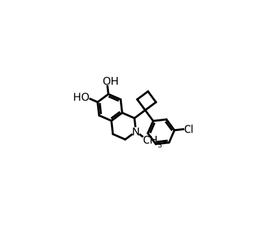 CN1CCc2cc(O)c(O)cc2C1C1(c2cccc(Cl)c2)CCC1